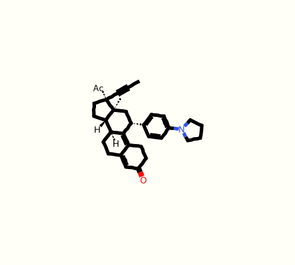 CC#C[C@]1(C(C)=O)CC[C@H]2[C@@H]3CCC4=CC(=O)CCC4=C3[C@@H](c3ccc(N4CCCC4)cc3)C[C@@]21C